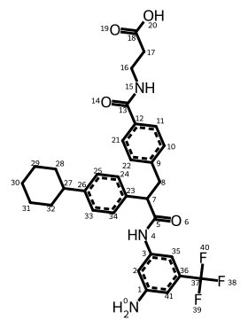 Nc1cc(NC(=O)C(Cc2ccc(C(=O)NCCC(=O)O)cc2)c2ccc(C3CCCCC3)cc2)cc(C(F)(F)F)c1